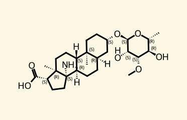 CO[C@@H]1[C@H](O)[C@@H](O[C@H]2CC[C@@]3(C)[C@H](CC[C@@H]4[C@@H]3CC[C@]3(C)[C@@H](C(=O)O)CC[C@]43N)C2)O[C@H](C)[C@H]1O